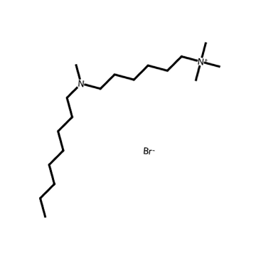 CCCCCCCCN(C)CCCCCC[N+](C)(C)C.[Br-]